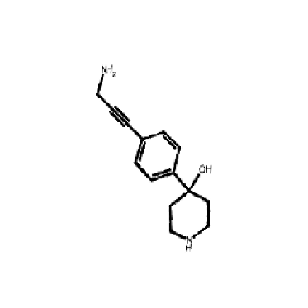 NCC#Cc1ccc(C2(O)CCNCC2)cc1